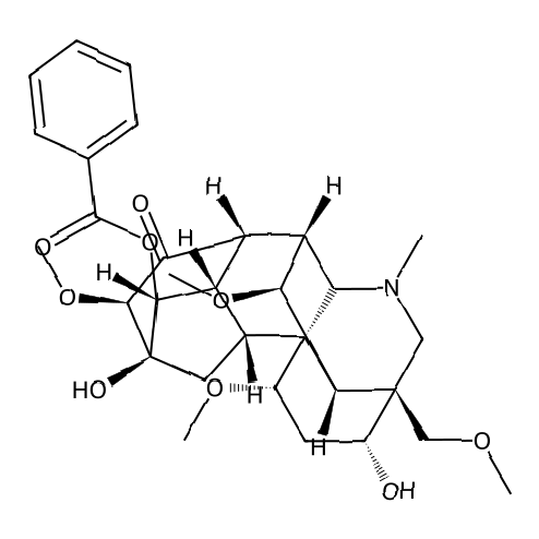 COC[C@]12CN(C)C3[C@@H]4[C@H](OC)[C@H]1[C@@]3([C@@H](OC)C[C@H]2O)[C@@H]1C[C@@]2(O)[C@H](OC(=O)c3ccccc3)[C@@H]1[C@@H]4C(=O)[C@@H]2OC